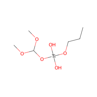 CCC[O][Ti]([OH])([OH])[O]C(OC)OC